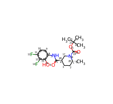 C[C@@H]1CC[C@@H](C(=O)Nc2ccc(F)c(F)c2O)CN1C(=O)OC(C)(C)C